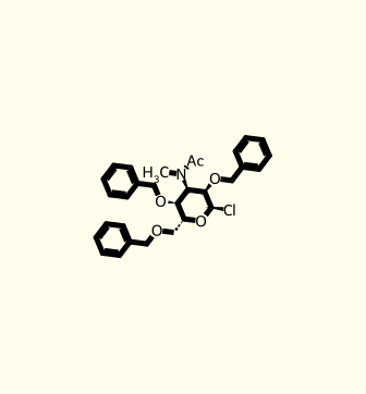 CC(=O)N(C)[C@H]1[C@@H](OCc2ccccc2)[C@@H](Cl)O[C@H](COCc2ccccc2)[C@@H]1OCc1ccccc1